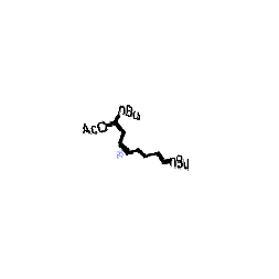 CCCCC=CCC/C=C\CC(CCCC)OC(C)=O